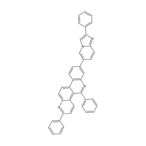 c1ccc(-c2ccc3c(ccc4c5ccc(-c6ccc7nc(-c8ccccc8)cn7c6)cc5nc(-c5ccccc5)c34)n2)cc1